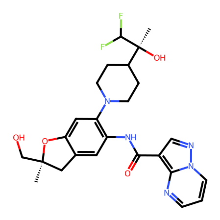 C[C@@]1(CO)Cc2cc(NC(=O)c3cnn4cccnc34)c(N3CCC([C@](C)(O)C(F)F)CC3)cc2O1